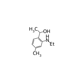 CCNc1cc(C)ccc1C(C)O